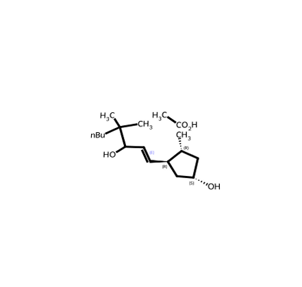 CC(=O)O.CCCCC(C)(C)C(O)/C=C/[C@@H]1C[C@@H](O)C[C@H]1C